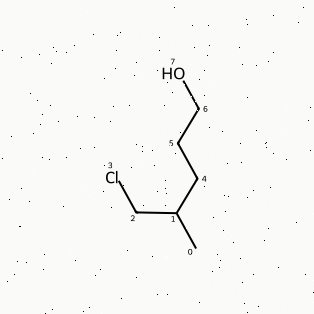 CC(CCl)CCCO